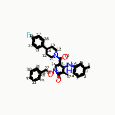 Cc1cccc(Nc2c(C(=O)N3CCC(c4ccc(F)cc4)CC3)cn(OCc3ccccc3)c(=O)c2C)c1